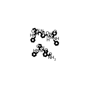 NC(=O)c1cccc2c(-c3nc4c(c(NCc5ccccc5)n3)OCC4)occ12.O=C(Nc1nc2c(c(NCc3ccccc3)n1)CCOC2)C1C=CC=C2C(c3nc4c(c(NCc5ccccc5)n3)OCC4)N=CN21